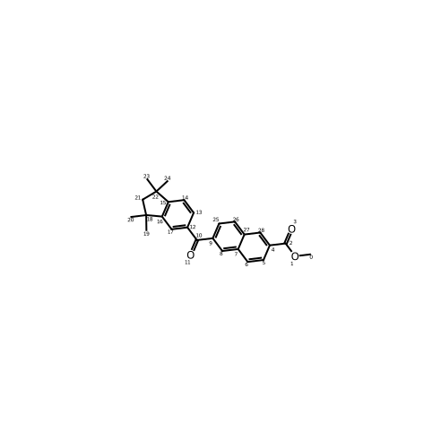 COC(=O)c1ccc2cc(C(=O)c3ccc4c(c3)C(C)(C)CC4(C)C)ccc2c1